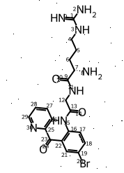 N=C(N)NCCC[C@H](N)C(=O)NCC(=O)Nc1ccc(Br)cc1C(=O)c1ccccn1